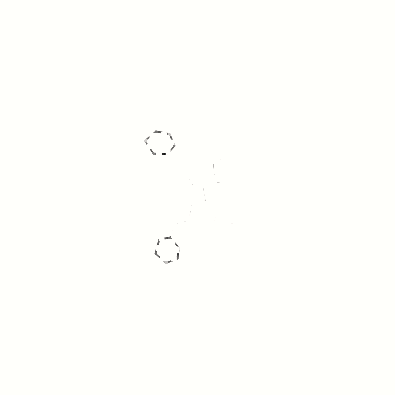 CCCCCCCO[C@@H]1[C@@H](N(C)C(C)CCCCC)[C@H](OCc2ccccc2)C[C@@H]1OCc1ccccc1